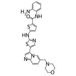 Nc1ccccc1NC(=O)c1ccc(Nc2ncc(-c3cnc4ccc(CN5CCOCC5)cn34)s2)s1